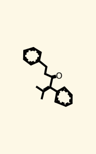 CC(C)=C(C(=O)CCc1ccccc1)c1ccccc1